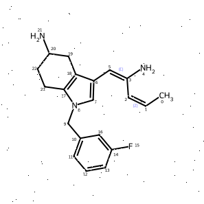 C/C=C\C(N)=C/c1cn(Cc2cccc(F)c2)c2c1CC(N)CC2